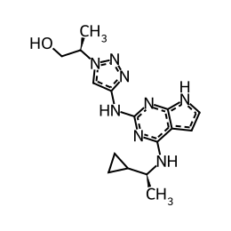 C[C@H](Nc1nc(Nc2cn([C@H](C)CO)nn2)nc2[nH]ccc12)C1CC1